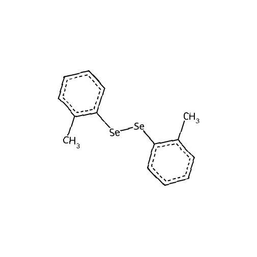 Cc1ccccc1[Se][Se]c1ccccc1C